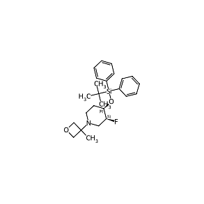 CC1(N2CC[C@@H](O[Si](c3ccccc3)(c3ccccc3)C(C)(C)C)[C@@H](F)C2)COC1